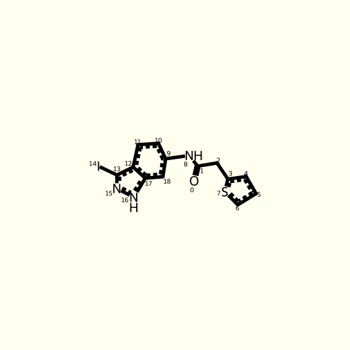 O=C(Cc1cccs1)Nc1ccc2c(I)n[nH]c2c1